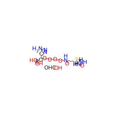 Nc1cnnc2cc(-c3cc(B(O)O)ccc3OCCOCCOCCOCCNC(=O)CCCC[C@@H]3SC[C@@H]4NC(=O)N[C@@H]43)ccc12.O=CO